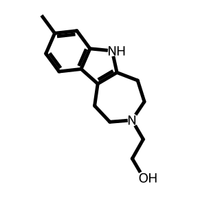 Cc1ccc2c3c([nH]c2c1)CCN(CCO)CC3